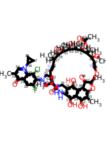 CO[C@H]1/C=C/O[C@@]2(C)Oc3c(C)c(O)c4c(O)c(c(CNC5CCN(c6c(F)cc7c(=O)c(C)cn(C8CC8)c7c6Cl)C5)c(O)c4c3C2=O)NC(=O)/C(C)=C\C=C\[C@H](C)[C@H](O)[C@@H](C)[C@@H](O)[C@@H](C)[C@H](OC(C)=O)[C@@H]1C